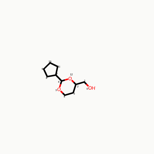 OCC1CCOC(C2CCCC2)O1